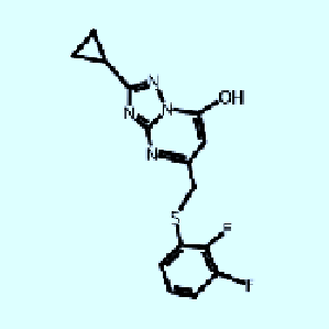 Oc1cc(CSc2cccc(F)c2F)nc2nc(C3CC3)nn12